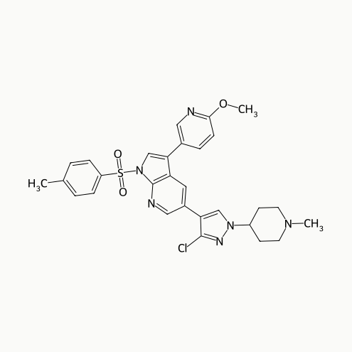 COc1ccc(-c2cn(S(=O)(=O)c3ccc(C)cc3)c3ncc(-c4cn(C5CCN(C)CC5)nc4Cl)cc23)cn1